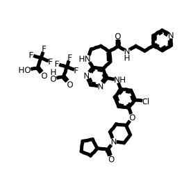 O=C(NCCc1ccncc1)C1=Cc2c(ncnc2Nc2ccc(OC3CCN(C(=O)C4CCCC4)CC3)c(Cl)c2)NCC1.O=C(O)C(F)(F)F.O=C(O)C(F)(F)F